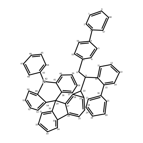 c1ccc(-c2ccc(CC(c3ccccc3-c3ccccc3)C3c4ccc5c(c43)C3(c4ccccc4-5)c4ccccc4N(c4ccccc4)c4ccccc43)cc2)cc1